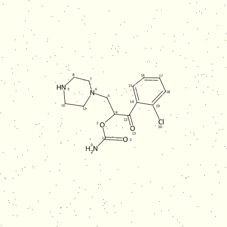 NC(=O)OC(CN1CCNCC1)C(=O)c1ccccc1Cl